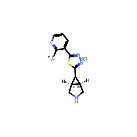 Cl.FC(F)(F)c1ncccc1-c1nnc(C2[C@H]3CNC[C@@H]23)s1